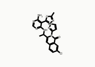 Cc1nnc(-c2c(N)ncnc2NC(C)c2cc3ccc(Cl)cc3c(=O)n2-c2cc[nH]n2)o1